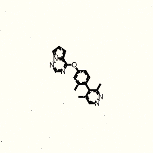 Cc1cc(Oc2ncnn3cccc23)ccc1-c1c(C)cnnc1C